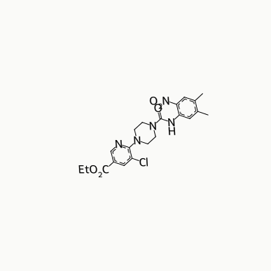 CCOC(=O)c1cnc(N2CCN(C(=O)Nc3cc(C)c(C)cc3[N+](=O)[O-])CC2)c(Cl)c1